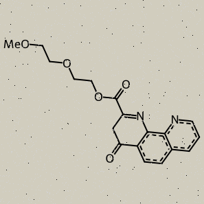 COCCOCCOC(=O)C1=Nc2c(ccc3cccnc23)C(=O)C1